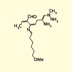 C\C=C(C=O)/C(=C\C/C(N)=C/N(C)N)/N=C/CCCCCOC